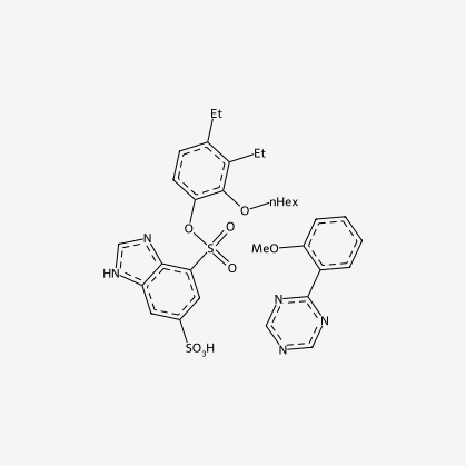 CCCCCCOc1c(OS(=O)(=O)c2cc(S(=O)(=O)O)cc3[nH]cnc23)ccc(CC)c1CC.COc1ccccc1-c1ncncn1